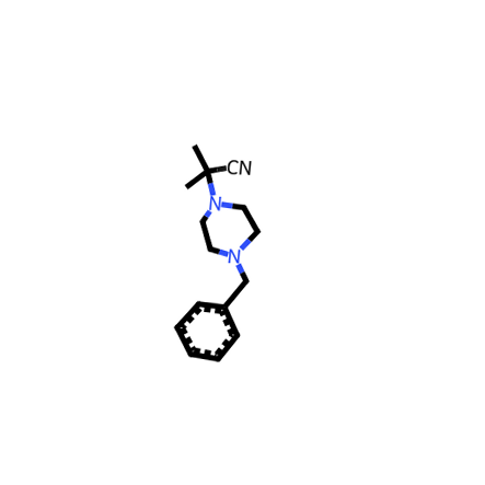 CC(C)(C#N)N1CCN(Cc2ccccc2)CC1